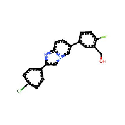 OCc1cc(-c2ccc3nc(-c4ccc(Cl)cc4)cn3c2)ccc1F